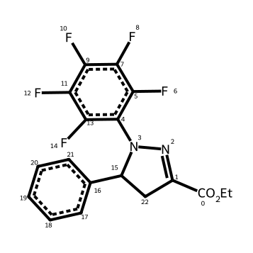 CCOC(=O)C1=NN(c2c(F)c(F)c(F)c(F)c2F)C(c2ccccc2)C1